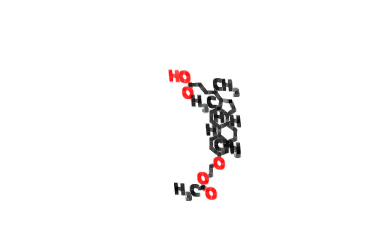 CC(=O)OCCO[C@H]1CC[C@@]2(C)[C@H](CC[C@@H]3[C@@H]2CC[C@]2(C)[C@@H]([C@H](C)CCC(=O)O)CC[C@@H]32)C1